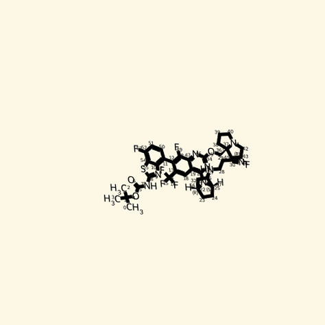 CC(C)(C)OC(=O)Nc1nc2c(-c3c(C(F)(F)F)cc4c(N5[C@@H]6CC[C@H]5C(NCCC#N)C6)nc(OC[C@@]56CCCN5C[C@H](F)C6)nc4c3F)ccc(F)c2s1